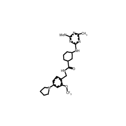 CNc1nc(C)nc(NC2CCCC(C(=O)NCc3ccc(N4CCCC4)cc3OC(F)(F)F)C2)n1